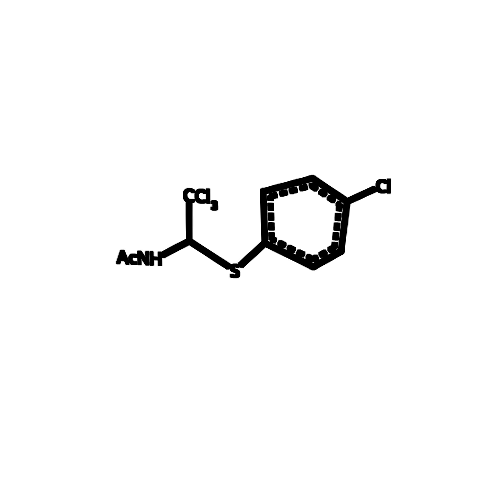 CC(=O)NC(Sc1ccc(Cl)cc1)C(Cl)(Cl)Cl